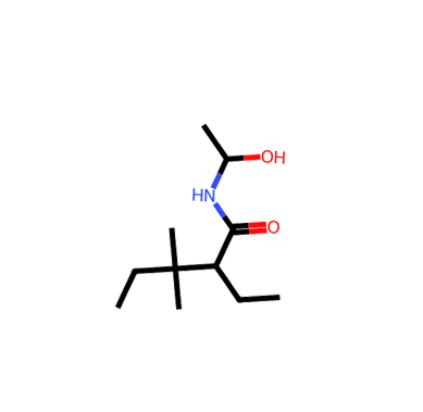 CCC(C(=O)NC(C)O)C(C)(C)CC